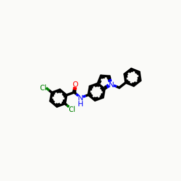 O=C(Nc1ccc2c(ccn2Cc2ccccc2)c1)c1cc(Cl)ccc1Cl